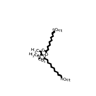 CCCCCCCCC=CCCCCCCCC(=O)OC(C)C(OC(=O)CCCCCCCC=CCCCCCCCC)N(C)C